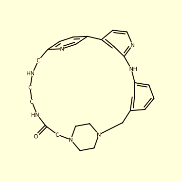 O=C1CN2CCN(CC2)Cc2cccc(c2)Nc2cc(ccn2)-c2ccc(nc2)CNCCN1